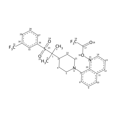 CC(C)(C1CCN(c2cccc3ccc[n+](OC(=O)C(F)(F)F)c23)CC1)S(=O)(=O)c1cccc(C(F)(F)F)c1